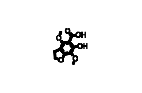 COc1c(O)c(C(=O)O)c(OC)c2c1OCC2